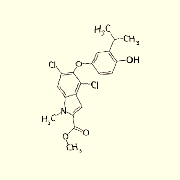 COC(=O)c1cc2c(Cl)c(Oc3ccc(O)c(C(C)C)c3)c(Cl)cc2n1C